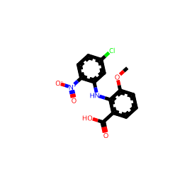 COc1cccc(C(=O)O)c1Nc1cc(Cl)ccc1[N+](=O)[O-]